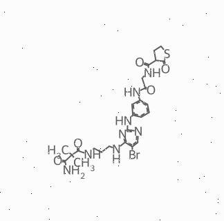 CC(C)(C(N)=O)C(=O)NCCCNc1nc(Nc2cccc(NC(=O)CNC(=O)C3CCSC3=O)c2)ncc1Br